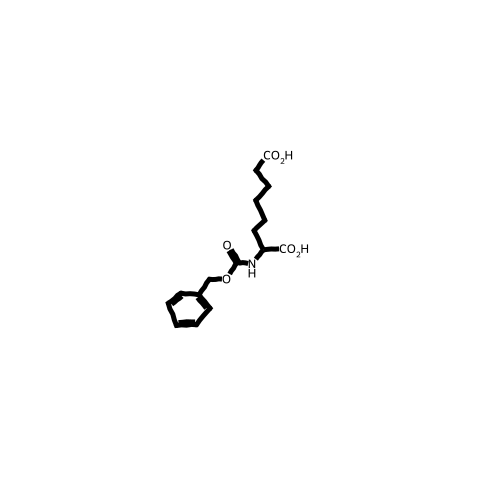 O=C(O)CCCCCC(NC(=O)OCc1ccccc1)C(=O)O